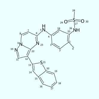 Cc1ccc(Nc2ccn3ncc(-c4cc5ccccc5s4)c3n2)cc1NS(C)(=O)=O